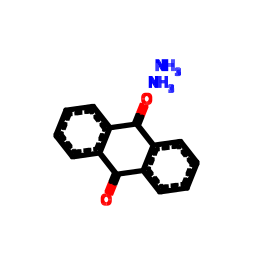 N.N.O=C1c2ccccc2C(=O)c2ccccc21